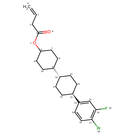 C=CCC(=O)OC1CCC([C@H]2CC[C@H](c3ccc(Br)c(F)c3)CC2)CC1